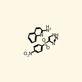 Nc1ccc2ccccc2n1.O=[N+]([O-])c1ccc(S(=O)(=O)c2c[nH]nn2)cc1